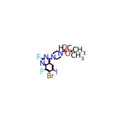 CC(C)(C)OC(=O)N1CCN(c2nc(F)nc3c(F)c(Br)c(I)cc23)CC1